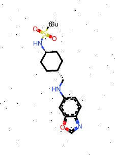 CC(C)(C)S(=O)(=O)N[C@H]1CC[C@H](CNc2ccc3ncoc3c2)CC1